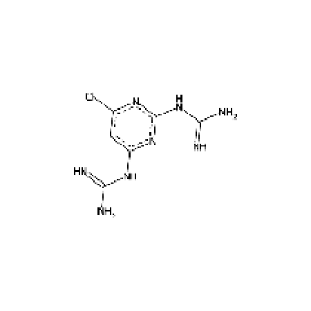 N=C(N)Nc1cc(Cl)nc(NC(=N)N)n1